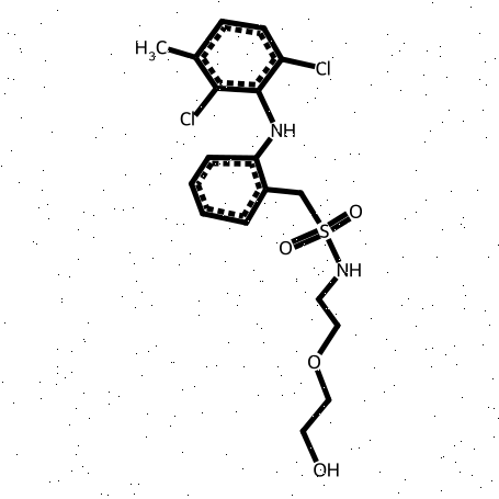 Cc1ccc(Cl)c(Nc2ccccc2CS(=O)(=O)NCCOCCO)c1Cl